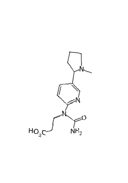 CN1CCCC1c1ccc(N(CCC(=O)O)C(N)=O)nc1